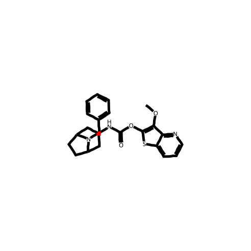 COc1c(OC(=O)NC2CC3CCC(C2)N3Cc2ccccc2)sc2cccnc12